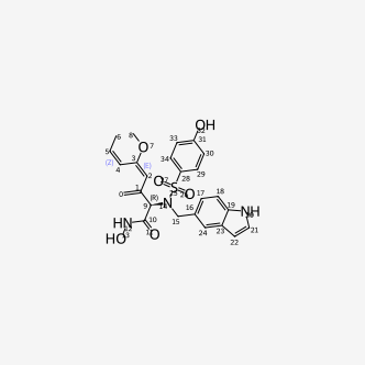 C=C(/C=C(\C=C/C)OC)[C@H](C(=O)NO)N(Cc1ccc2[nH]ccc2c1)S(=O)(=O)c1ccc(O)cc1